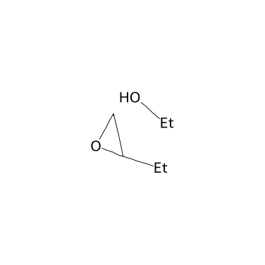 CCC1CO1.CCO